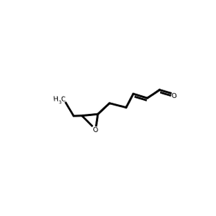 CCC1OC1CC/C=C/C=O